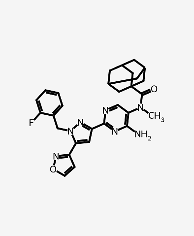 CN(C(=O)C12CC3CC(CC(C3)C1)C2)c1cnc(-c2cc(-c3ccon3)n(Cc3ccccc3F)n2)nc1N